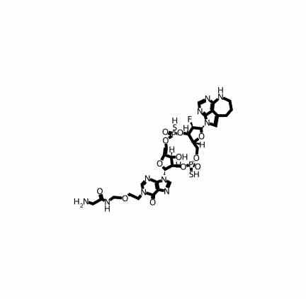 NCC(=O)NCOCCn1cnc2c(ncn2[C@@H]2O/C3=C\OP(=O)(S)O[C@H]4[C@@H](F)[C@H](n5cc6c7c(ncnc75)NCCC6)O[C@@H]4COP(=O)(S)O[C@@H]2[C@@H]3O)c1=O